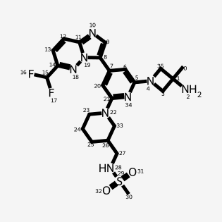 CC1(N)CN(c2cc(-c3cnc4ccc(C(F)F)nn34)cc(N3CCCC(CNS(C)(=O)=O)C3)n2)C1